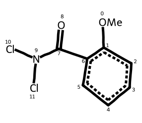 COc1ccccc1C(=O)N(Cl)Cl